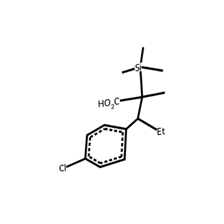 CCC(c1ccc(Cl)cc1)C(C)(C(=O)O)[Si](C)(C)C